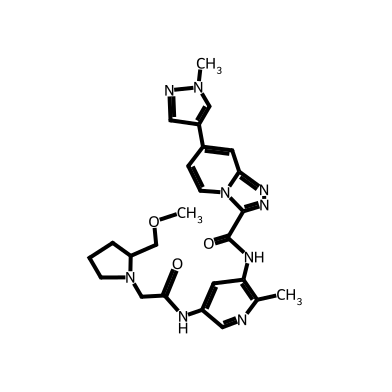 COCC1CCCN1CC(=O)Nc1cnc(C)c(NC(=O)c2nnc3cc(-c4cnn(C)c4)ccn23)c1